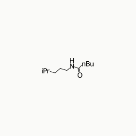 [CH2]CCCC(=O)NCCCC(C)C